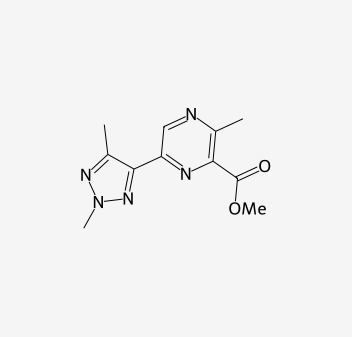 COC(=O)c1nc(-c2nn(C)nc2C)cnc1C